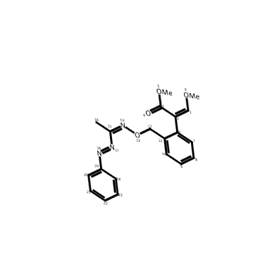 COC=C(C(=O)OC)c1ccccc1CON=C(C)N=Nc1ccccc1